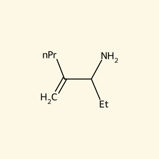 C=C(CCC)C(N)CC